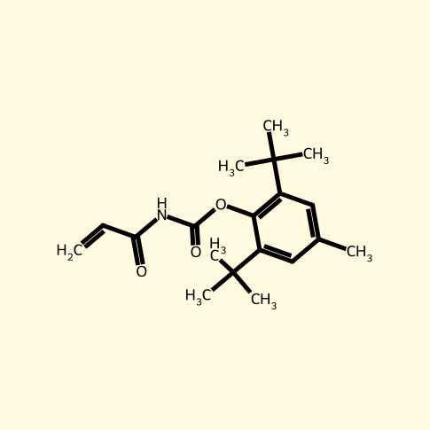 C=CC(=O)NC(=O)Oc1c(C(C)(C)C)cc(C)cc1C(C)(C)C